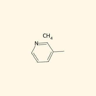 C.Cc1cccnc1